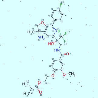 COc1cc(C(=O)NCC(O)(c2cc3c(c(-c4ccc(F)cc4)n2)OCC3(C)N)C(F)(F)F)ccc1OCCOC(=O)C(C)C